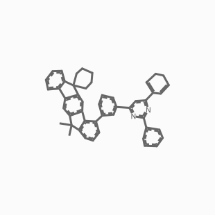 CC1(C)c2cc3c(cc2-c2c(-c4cccc(-c5cc(C6=CCCC=C6)nc(-c6ccccc6)n5)c4)cccc21)C1(CCCCC1)c1ccccc1-3